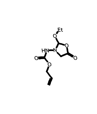 C=CCOC(=O)NN1CC(=O)OC1OCC